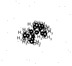 Cc1cc2c3c(c1)N(c1ccc4c(c1)C(C)(C)CCC4(C)C)c1c(sc4cc5c(cc14)C(C)(C)CCC5(C)C)B3c1ccc(N(c3ccc4c(c3)C(C)(C)CCC4(C)C)c3ccc4c(c3)C(C)(C)CCC4(C)C)cc1N2c1ccc2c(c1)C(C)(C)CCC2(C)C